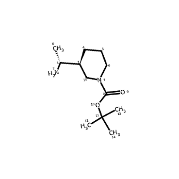 C[C@@H](N)[C@H]1CCCN(C(=O)OC(C)(C)C)C1